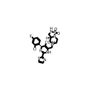 O=C(O)C1=C(CN2CCN3[C@@H](CNS3(=O)=O)C2)NC(c2nccs2)=N[C@H]1c1ccc(F)cc1Cl